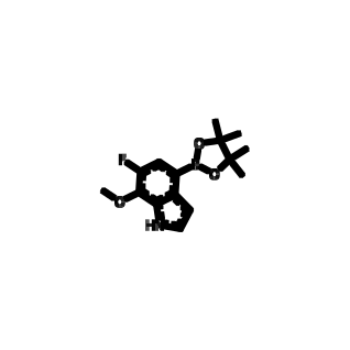 COc1c(F)cc(B2OC(C)(C)C(C)(C)O2)c2cc[nH]c12